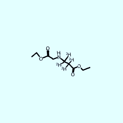 [2H]C([2H])(NCC(=O)OCC)C([2H])([2H])C(=O)OCC